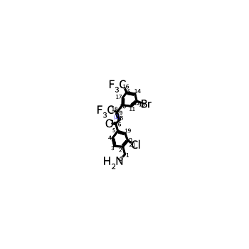 NCc1ccc(C(=O)/C=C(/c2cc(Br)cc(C(F)(F)F)c2)C(F)(F)F)cc1Cl